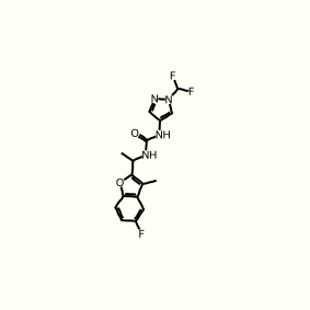 Cc1c(C(C)NC(=O)Nc2cnn(C(F)F)c2)oc2ccc(F)cc12